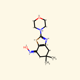 CC1(C)C/C(=N/O)c2sc(N3CCOCC3)nc2C1